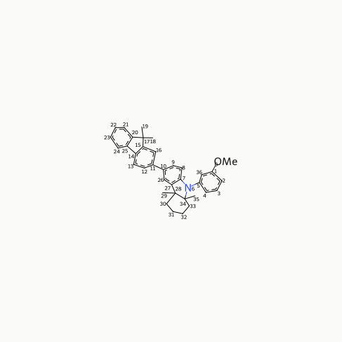 COc1cccc(N2c3ccc(-c4ccc5c(c4)C(C)(C)c4ccccc4-5)cc3C3(C)CCCCC23C)c1